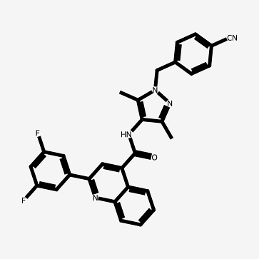 Cc1nn(Cc2ccc(C#N)cc2)c(C)c1NC(=O)c1cc(-c2cc(F)cc(F)c2)nc2ccccc12